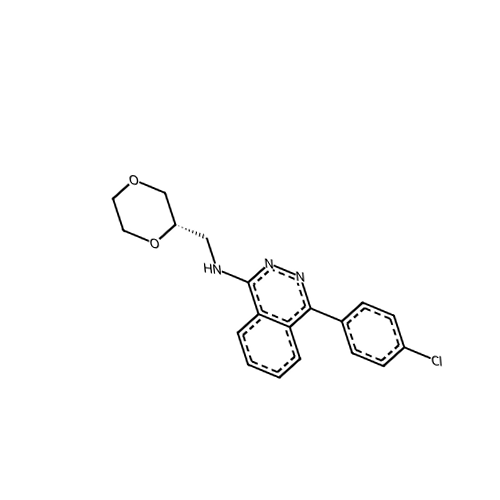 Clc1ccc(-c2nnc(NC[C@H]3COCCO3)c3ccccc23)cc1